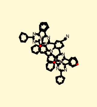 N#Cc1cc(-c2cc(-c3ccccc3)nc(-c3ccccc3)n2)c(-n2c3cc(-c4nc(-c5ccccc5)nc(-c5ccccc5)n4)ccc3c3ccc(-c4nc(-c5ccccc5)nc(-c5ccccc5)n4)cc32)c(-c2nc(-c3ccccc3)cc(-c3ccccc3)n2)c1